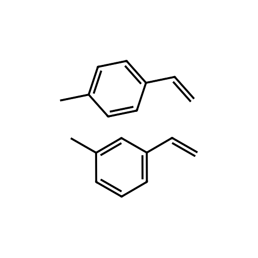 C=Cc1ccc(C)cc1.C=Cc1cccc(C)c1